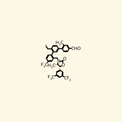 Cc1cc(C=O)ccc1-c1ccc(CI)c(-c2ccc(C(F)(F)F)cc2CN2C(=O)O[C@H](c3cc(C(F)(F)F)cc(C(F)(F)F)c3)[C@@H]2C)c1